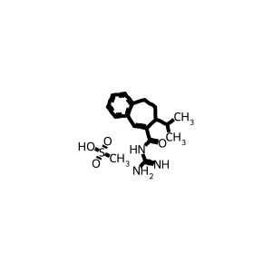 CC(C)C1CCc2ccccc2C=C1C(=O)NC(=N)N.CS(=O)(=O)O